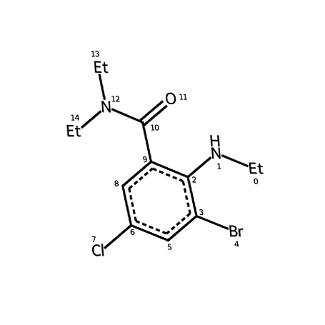 CCNc1c(Br)cc(Cl)cc1C(=O)N(CC)CC